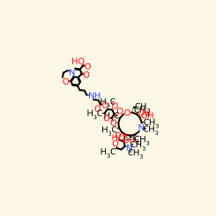 CC[C@H]1OC(=O)[C@H](C)[C@@H](O[C@H]2C[C@@H](OC)[C@@H](OC(=O)CCNCCCc3cc4c5c(c3)c(=O)c(C(=O)O)cn5CCCO4)[C@H](C)O2)[C@H](C)[C@@H](O[C@@H]2O[C@H](C)C[C@H](N(C)C)[C@H]2O)[C@](C)(O)C[C@@H](C)CN(C)[C@H](C)[C@@H](O)[C@]1(C)O